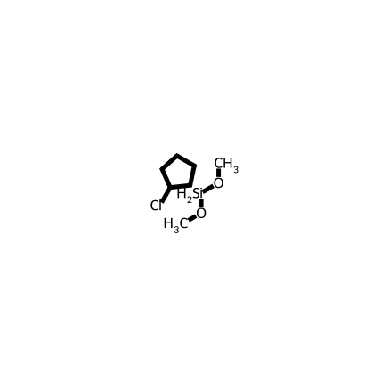 CO[SiH2]OC.ClC1CCCC1